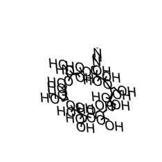 CN1CCN(CCC2OC(O)/C(O)=C(\O)C(CCO)OC(O)/C(O)=C(/O)C(CCO)OC(O)/C(O)=C(\O)C(CCO)OC3OC(CO)C(OC(O)/C(O)=C(\O)C(CCO)OC(O)/C(O)=C/2O)C(O)C3O)CC1